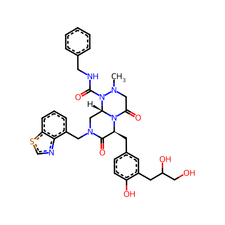 CN1CC(=O)N2[C@@H](Cc3ccc(O)c(CC(O)CO)c3)C(=O)N(Cc3cccc4scnc34)C[C@@H]2N1C(=O)NCc1ccccc1